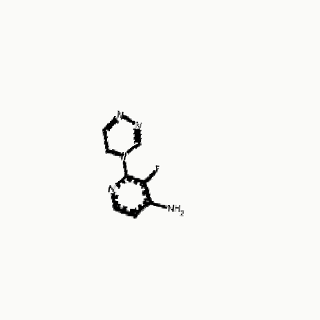 Nc1ccnc(N2C=NN=CC2)c1F